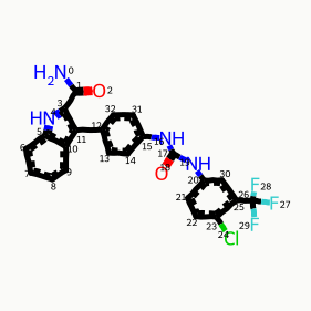 NC(=O)c1[nH]c2ccccc2c1-c1ccc(NC(=O)Nc2ccc(Cl)c(C(F)(F)F)c2)cc1